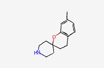 Cc1ccc2c(c1)OC1(CCNCC1)CC2